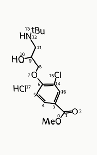 COC(=O)c1ccc(OCC(O)CNC(C)(C)C)c(Cl)c1.Cl